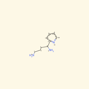 NCCCC(N)c1ccccn1